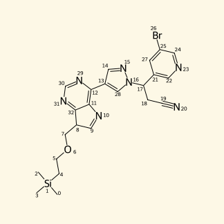 C[Si](C)(C)CCOCC1C=Nc2c(-c3cnn(C(CC#N)c4cncc(Br)c4)c3)ncnc21